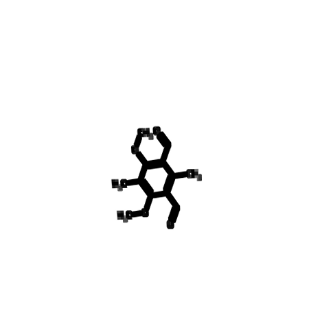 COc1c(C)c(OC)c(C=O)c(C)c1C=O